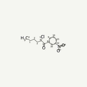 CCCCC(Cl)C(=O)c1cccc([N+](=O)[O-])c1